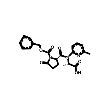 Cc1cccc(N(C(=O)[C@@H]2CCC(=O)N2C(=O)OCc2ccccc2)[C@@H](C)C(=O)O)n1